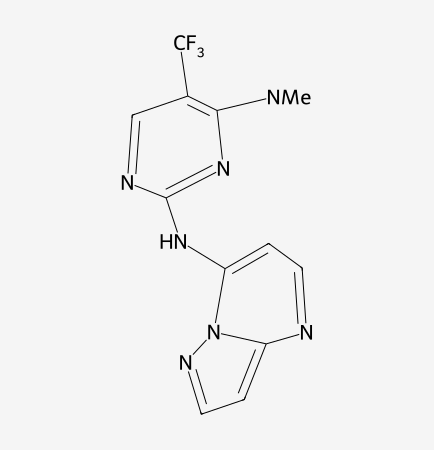 CNc1nc(Nc2ccnc3ccnn23)ncc1C(F)(F)F